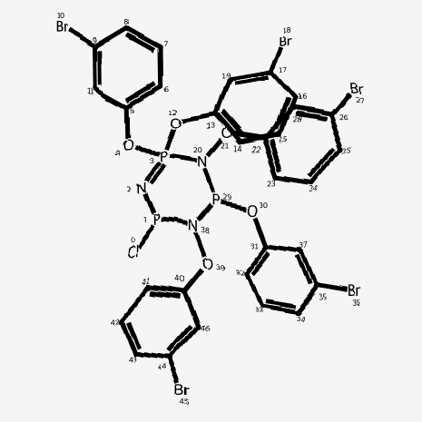 ClP1N=P(Oc2cccc(Br)c2)(Oc2cccc(Br)c2)N(Oc2cccc(Br)c2)P(Oc2cccc(Br)c2)N1Oc1cccc(Br)c1